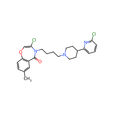 Cc1ccc2c(c1)C(=O)N(CCCCN1CCC(c3cccc(Cl)n3)CC1)C(Cl)=CO2